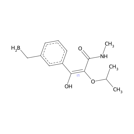 BCc1cccc(/C(O)=C(/OC(C)C)C(=O)NC)c1